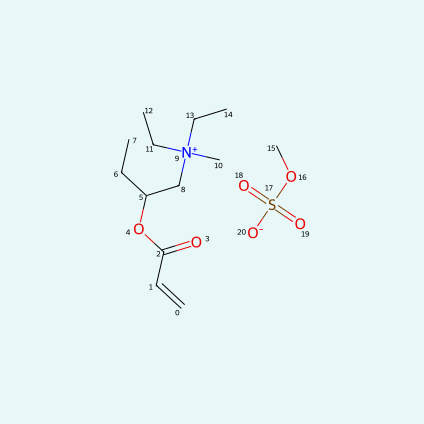 C=CC(=O)OC(CC)C[N+](C)(CC)CC.COS(=O)(=O)[O-]